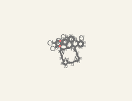 Clc1cccc(C2=CC3=CC4=NC(=CC5=NC(=CC6=NC(=C(c7cccc(Cl)c7Cl)C2=N3)C(c2cccc(Cl)c2Cl)=C6c2cccc(Cl)c2Cl)C=C5)C=C4)c1Cl